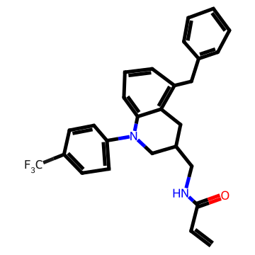 C=CC(=O)NCC1Cc2c(Cc3ccccc3)cccc2N(c2ccc(C(F)(F)F)cc2)C1